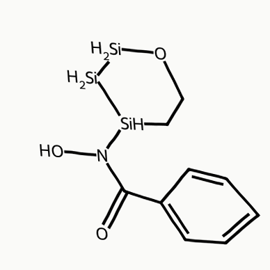 O=C(c1ccccc1)N(O)[SiH]1CCO[SiH2][SiH2]1